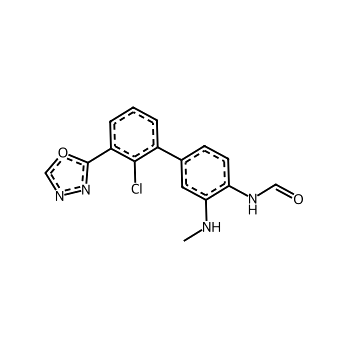 CNc1cc(-c2cccc(-c3nnco3)c2Cl)ccc1NC=O